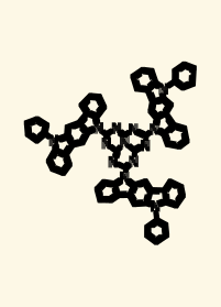 c1ccc(-n2c3ccccc3c3cc4c(cc32)c2ccccc2n4C2=NC3=NC(n4c5ccccc5c5cc6c(cc54)c4ccccc4n6-c4ccccc4)=NC4=NC(n5c6ccccc6c6cc7c(cc65)c5ccccc5n7-c5ccccc5)=NC(=N2)N34)cc1